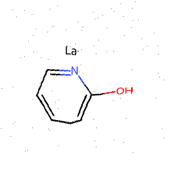 Oc1ccccn1.[La]